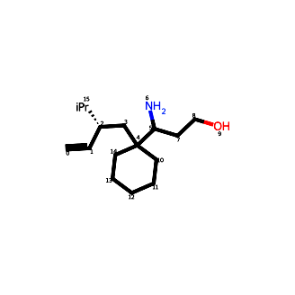 C=C[C@@H](CC1(C(N)CCO)CCCCC1)C(C)C